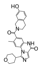 Cc1cc2c(cc1C(=O)N1CCc3ccc(O)cc3C1)[nH]c(=O)c1cnc(C3CCOCC3)n12